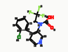 O=C(O)N(CC(F)(F)F)c1cnccc1-c1ccccc1Cl